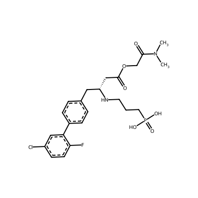 CN(C)C(=O)COC(=O)C[C@@H](Cc1ccc(-c2cc(Cl)ccc2F)cc1)NCCCP(=O)(O)O